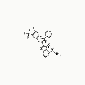 Cc1c(N(Cc2ccc(F)c(C(F)(F)F)c2)S(=O)(=O)c2ccccc2)sc2cccc(C(N)=O)c12